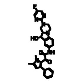 Cc1cc(-c2ccccc2)c(C(=O)C(=O)Nc2ccc3c(c2)C(O)C2CN(c4ncc(F)cn4)CCN32)n1C